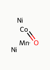 [Mn].[Ni].[Ni].[O]=[Co]